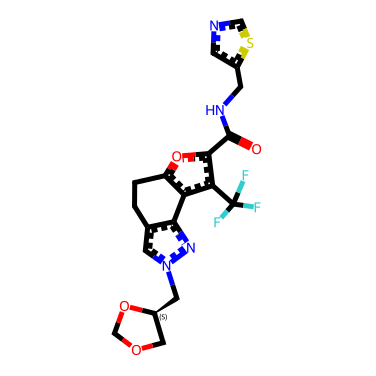 O=C(NCc1cncs1)c1oc2c(c1C(F)(F)F)-c1nn(C[C@H]3COCO3)cc1CC2